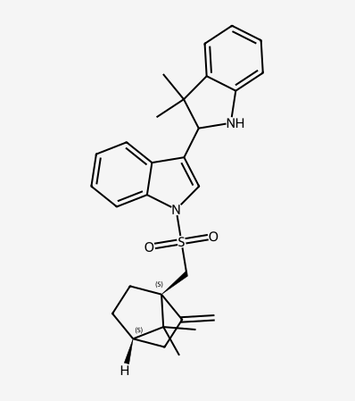 C=C1C[C@@H]2CC[C@@]1(CS(=O)(=O)n1cc(C3Nc4ccccc4C3(C)C)c3ccccc31)C2(C)C